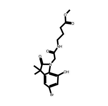 COC(=O)CCCNC(=O)CN1C(=O)C(C)(C)c2cc(Br)cc(O)c21